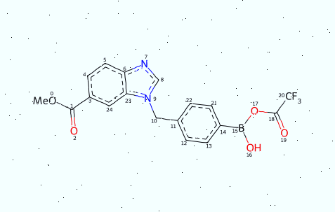 COC(=O)c1ccc2ncn(Cc3ccc(B(O)OC(=O)C(F)(F)F)cc3)c2c1